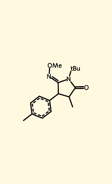 CON=C1C(c2ccc(C)cc2)C(C)C(=O)N1C(C)(C)C